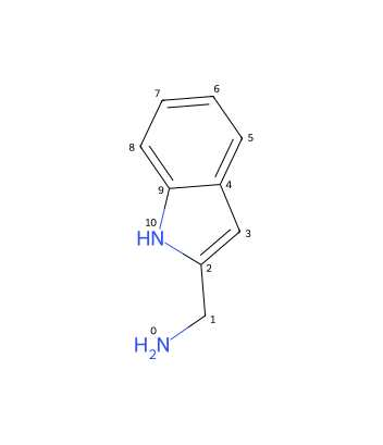 NCc1cc2ccccc2[nH]1